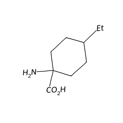 CCC1CCC(N)(C(=O)O)CC1